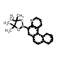 CC1(C)OB(c2cc3ccc4ccccc4c3c3cccnc23)OC1(C)C